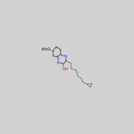 COc1ccc2nc(CCCCCCC3CC3)c(O)nc2c1